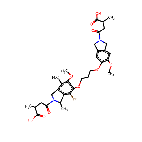 COc1cc2c(cc1OCCCOc1c(Br)c3c(c(C)c1OC)CN(C(=O)CC(C)C(=O)O)C3C)CN(C(=O)CC(C)C(=O)O)C2